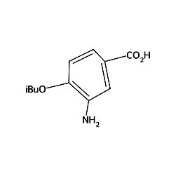 CC(C)COc1ccc(C(=O)O)cc1N